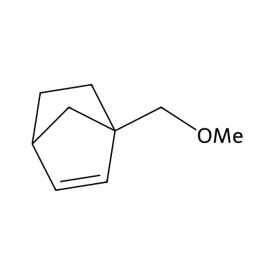 COCC12C=CC(CC1)C2